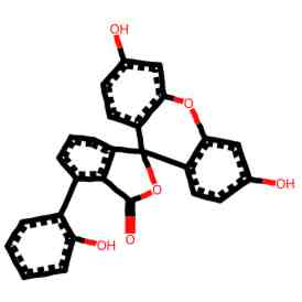 O=C1OC2(c3ccc(O)cc3Oc3cc(O)ccc32)c2cccc(-c3ccccc3O)c21